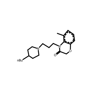 CCCCC1CCN(CCCN2C(=O)COc3cccc(C)c32)CC1